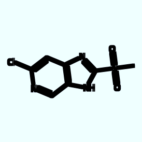 CS(=O)(=O)c1nc2cc(Cl)ncc2[nH]1